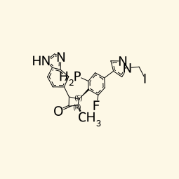 C[C@H]1C(=O)C(c2ccc3[nH]cnc3c2)[C@H]1c1c(F)cc(-c2cnn(CI)c2)cc1P